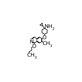 CCCCOc1nccc2cc(OC3CCC(N)(C4CC4)CC3)c(C)cc12